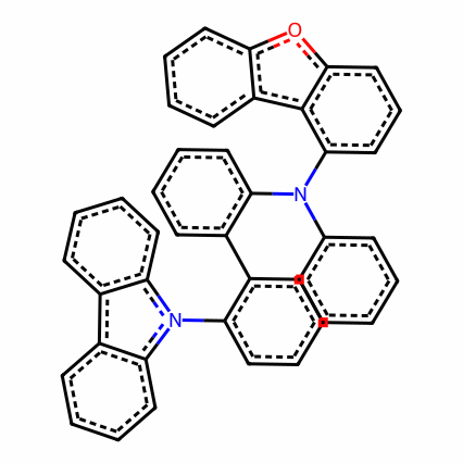 c1ccc(N(c2ccccc2-c2ccccc2-n2c3ccccc3c3ccccc32)c2cccc3oc4ccccc4c23)cc1